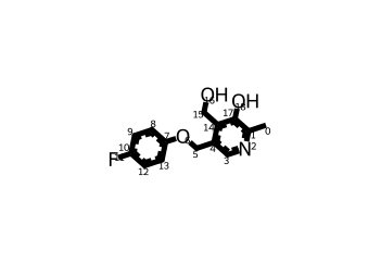 Cc1ncc(COc2ccc(F)cc2)c(CO)c1O